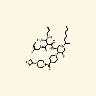 C=CCNC(N)C(C(=O)NC1CN(C(C)CCCCC)CC(F)C1N1CCC(C(=O)N2CCN(C3COC3)CC2)CC1)/C(C)=N/C/C(F)=C\C